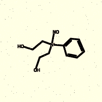 O=N[N+](CCO)(CCO)c1ccccc1